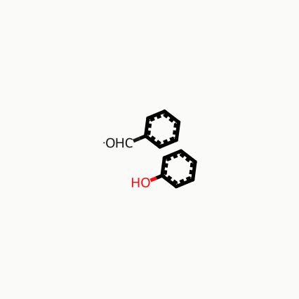 O=[C]c1ccccc1.Oc1ccccc1